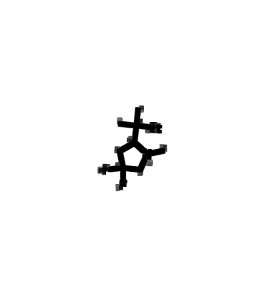 CCC(C)(C)C1CC(F)(F)CN1C